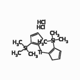 C[Si](C)(C)C1=[C]([Ti][C]2=C([Si](C)(C)C)C=CC2)CC=C1.Cl.Cl